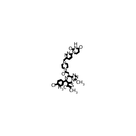 Cc1sc2c(c1C)C(c1ccc(Cl)cc1)=N[C@@H](CC(=O)N1CCN(Cc3ccc(N4CCC(=O)NC4=O)nn3)CC1)c1nnc(C)n1-2